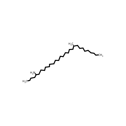 CCCCCCCCC[C@H](C)CCCCCCCCCCCCCCCC(N)CCCC